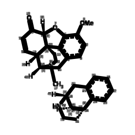 COc1ccc2c3c1O[C@H]1C(=O)C=C[C@H]4[C@@H](C2)N(C)CC[C@]314.c1ccc2c(c1)C[C@H]1NCC[C@@]23CCCC[C@@H]13